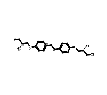 OC[C@@H](O)COc1ccc(CCc2ccc(OC[C@H](O)CCl)cc2)cc1